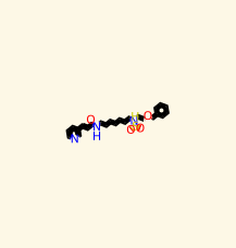 O=C(C=Cc1cccnc1)NCCCCCCCN(CCOCC1CCCCC1)[SH](=O)=O